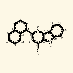 Clc1nc(-c2cccc3ccccc23)nc2c1oc1ccccc12